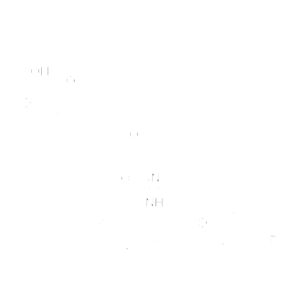 CCOC(Cc1ccc(OCCN(CCCOc2ccc(F)cc2)C(=O)Nc2ccccc2C)cc1)C(=O)O